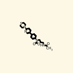 CC(=O)NCC1CN(c2ccc(-c3ccc(N4CCSCC4)nc3)cc2)C(=O)O1